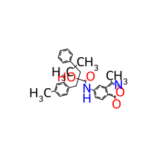 Cc1ccc(CC(O)(CC(C)(C)c2ccccc2)C(=O)Nc2ccc3c(=O)onc(C)c3c2)cc1